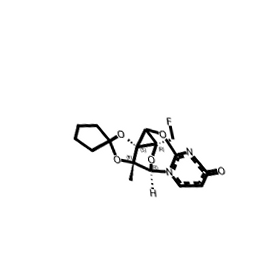 C[C@@]12OC3(CCCC3)O[C@@]13C1Oc4nc(=O)ccn4[C@@H]2O[C@]13CF